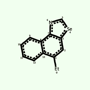 CCc1cc2[se]cnc2c2ccccc12